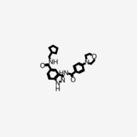 O=C(NCC1CCCC1)c1ccc2[nH]nc(NC(=O)c3ccc(N4CCOCC4)cc3)c2c1